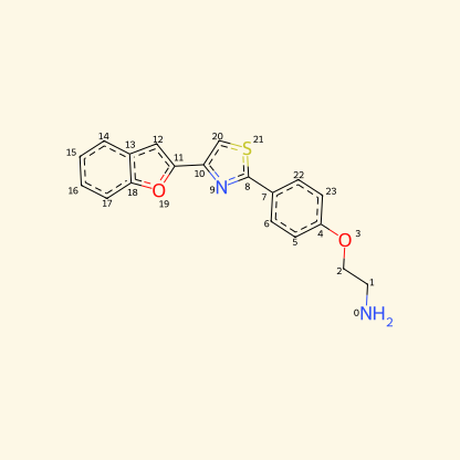 NCCOc1ccc(-c2nc(-c3cc4ccccc4o3)cs2)cc1